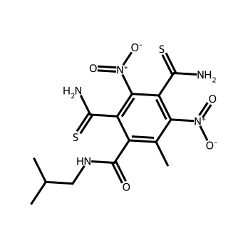 Cc1c(C(=O)NCC(C)C)c(C(N)=S)c([N+](=O)[O-])c(C(N)=S)c1[N+](=O)[O-]